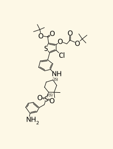 CC(C)(C)OC(=O)COc1c(C(=O)OC(C)(C)C)sc(-c2cccc(N[C@H]3CC[C@H](S(=O)(=O)Cc4cccc(N)c4)C(C)(C)C3)c2)c1Cl